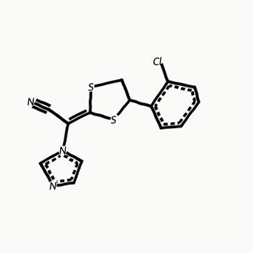 N#CC(=C1SCC(c2ccccc2Cl)S1)n1ccnc1